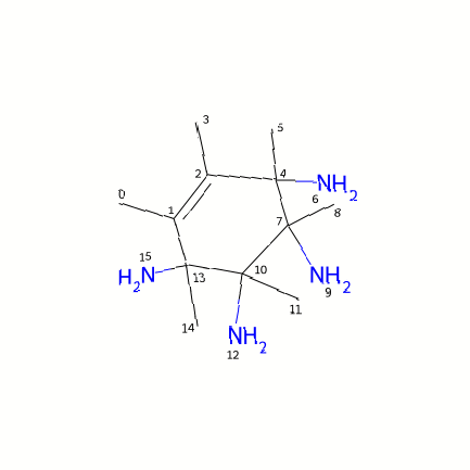 CC1=C(C)C(C)(N)C(C)(N)C(C)(N)C1(C)N